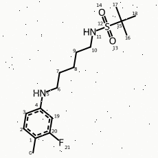 Cc1ccc(NCCCCCNS(=O)(=O)C(C)(C)C)cc1F